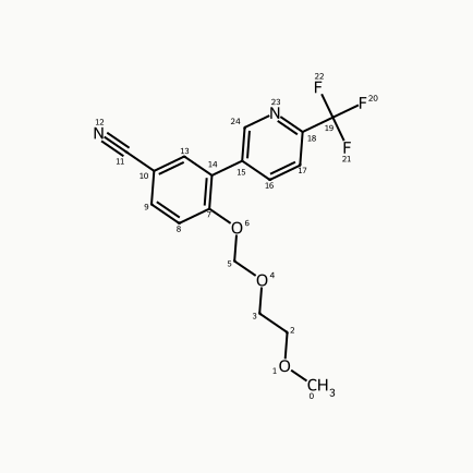 COCCOCOc1ccc(C#N)cc1-c1ccc(C(F)(F)F)nc1